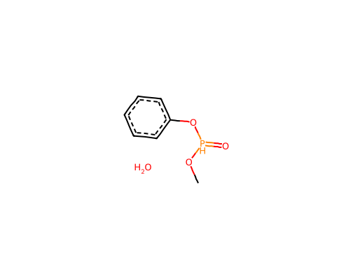 CO[PH](=O)Oc1ccccc1.O